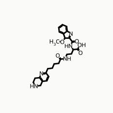 COC1C(C(=O)NC(CCNC(=O)CCCCc2ccc3c(n2)CCNC3)C(=O)O)=Nc2ccccc21